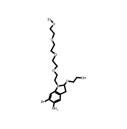 CCOCCOCCOCCOCCN1c2cc(C(C)C)c(N)cc2CC1OCCO